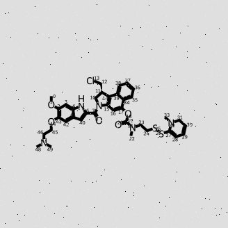 COc1cc2[nH]c(C(=O)N3C[C@@H](CCl)c4c3cc(OC(=O)N(C)CCSSC3=CC=CCN3C)c3ccccc43)cc2cc1OCCN(C)C